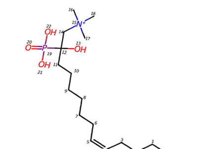 CCCCCCCCCCCCC/C=C\CCCCCCC(O)(C[N+](C)(C)C)P(=O)(O)O